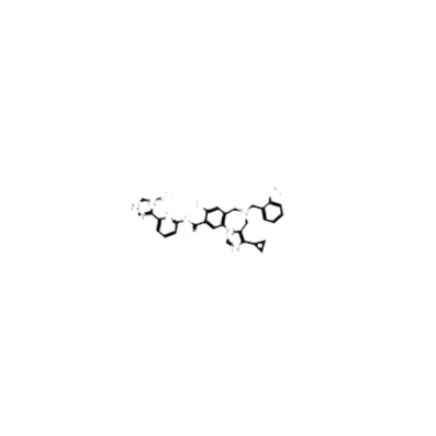 CC(C)n1cnnc1-c1cccc(NC(=O)c2cc3c(cc2F)CN(Cc2ccccc2C#N)Cc2c(C4CC4)ncn2-3)n1